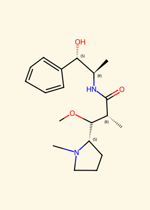 COC([C@@H](C)C(=O)N[C@H](C)[C@@H](O)c1ccccc1)[C@@H]1CCCN1C